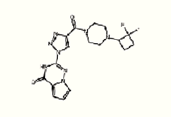 O=C(c1cn(-c2nn3cccc3c(=O)[nH]2)nn1)N1CCN(C2CCC2(F)F)CC1